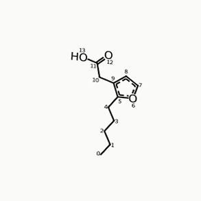 CCCCCc1occc1CC(=O)O